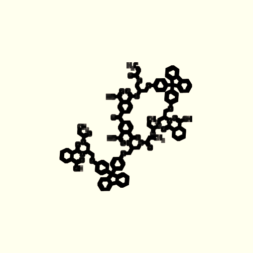 C=CC(=O)OCC(COc1ccc(C2(c3ccc(OCC(COC(=O)C=C)OC(=O)C4CC=CCC4C(=O)O)cc3)c3ccccc3-c3ccccc32)cc1)OC(=O)c1ccc(C(=O)c2ccc(C(=O)OC(COC(=O)C=C)COc3ccc(C4(c5ccc(OCC(COC(=O)C=C)OC(=O)C6CC=CCC6C(=O)O)cc5)c5ccccc5-c5ccccc54)cc3)c(C(=O)O)c2)cc1C(=O)O